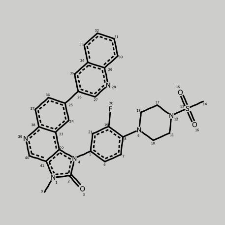 Cn1c(=O)n(-c2ccc(N3CCN(S(C)(=O)=O)CC3)c(F)c2)c2c3cc(-c4cnc5ccccc5c4)ccc3ncc21